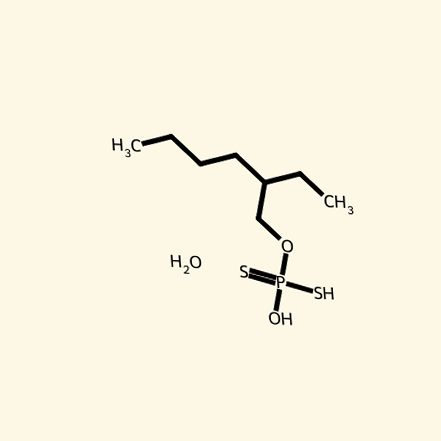 CCCCC(CC)COP(O)(=S)S.O